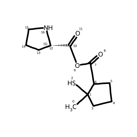 CC1(S)CCCC1C(=O)OC(=O)[C@@H]1CCCN1